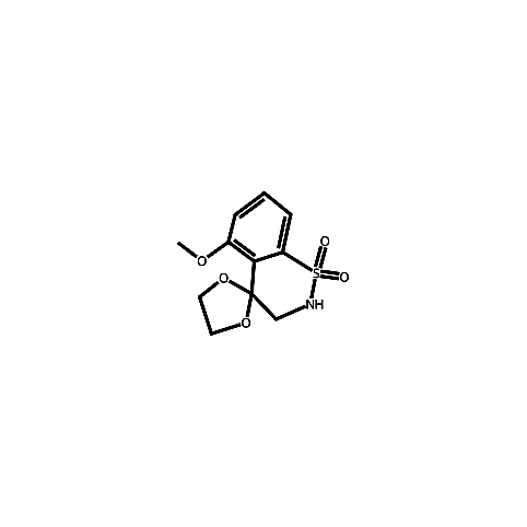 COc1cccc2c1C1(CNS2(=O)=O)OCCO1